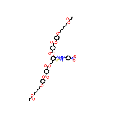 C=CC(=O)OCCCCCCOc1ccc(OC(=O)C2CCC(C(=O)OCCc3ccc(OC(=O)C4CCC(C(=O)Oc5ccc(OCCCCCCOC(=O)C=C)cc5)CC4)c4nc(N(C)Nc5ccc([N+](=O)[O-])cc5)sc34)CC2)cc1